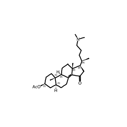 CC(=O)O[C@H]1CC[C@@]2(C)[C@@H](CCC3=C4C(=O)C[C@H]([C@H](C)CCCN(C)C)[C@@]4(C)CC[C@@H]32)C1